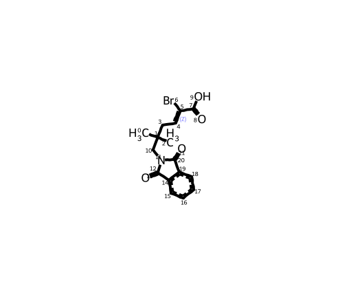 CC(C)(C/C=C(\Br)C(=O)O)CN1C(=O)c2ccccc2C1=O